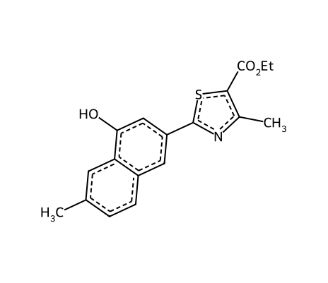 CCOC(=O)c1sc(-c2cc(O)c3cc(C)ccc3c2)nc1C